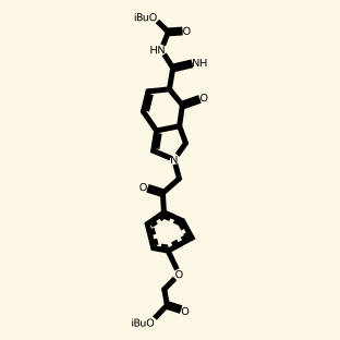 CC(C)COC(=O)COc1ccc(C(=O)CN2C=C3C=CC(C(=N)NC(=O)OCC(C)C)C(=O)C3C2)cc1